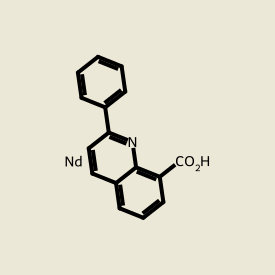 O=C(O)c1cccc2ccc(-c3ccccc3)nc12.[Nd]